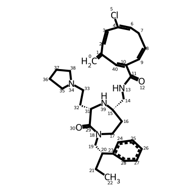 C=C1/C=C\C(Cl)=C/C/C=C\C(C(=O)NC[C@@H]2CCN(C[C@@H](CC)c3ccccc3)C(=O)[C@H](CCN3CCCC3)N2)=C/1